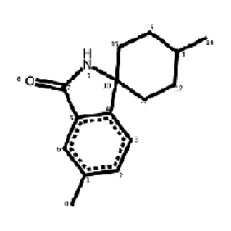 Cc1ccc2c(c1)C(=O)NC21CCC(C)CC1